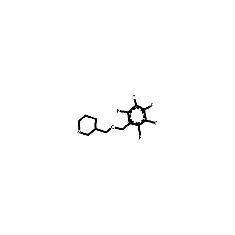 Fc1c(F)c(F)c(COCC2CCC[N]C2)c(F)c1F